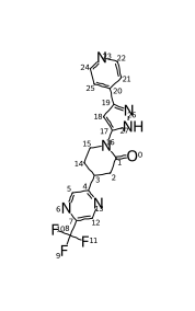 O=C1CC(c2cnc(C(F)(F)F)cn2)CCN1c1cc(-c2ccncc2)n[nH]1